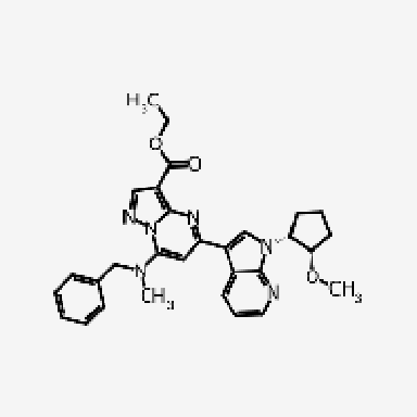 CCOC(=O)c1cnn2c(N(C)Cc3ccccc3)cc(-c3cn([C@@H]4CCC[C@H]4OC)c4ncccc34)nc12